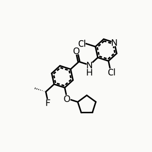 C[C@@H](F)c1ccc(C(=O)Nc2c(Cl)cncc2Cl)cc1OC1CCCC1